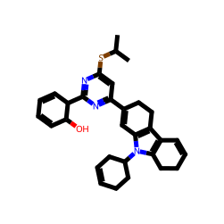 CC(C)Sc1cc(C2=Cc3c(c4c(n3C3CC=CCC3)CCC=C4)CC2)nc(C2C=CC=CC2O)n1